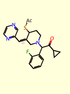 CC(=O)SC1CCN(C(C(=O)C2CC2)c2ccccc2F)C/C1=C/c1cnccn1